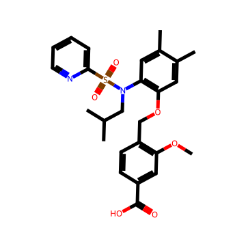 COc1cc(C(=O)O)ccc1COc1cc(C)c(C)cc1N(CC(C)C)S(=O)(=O)c1ccccn1